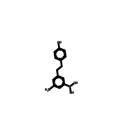 Nc1cc(CCc2ccc(O)cc2)cc(B(O)O)c1